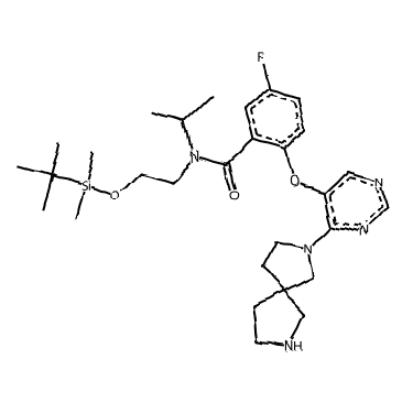 CC(C)N(CCO[Si](C)(C)C(C)(C)C)C(=O)c1cc(F)ccc1Oc1cncnc1N1CCC2(CCNC2)C1